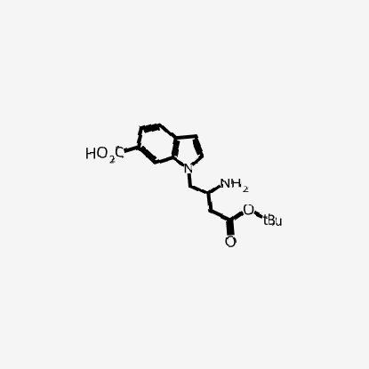 CC(C)(C)OC(=O)CC(N)Cn1ccc2ccc(C(=O)O)cc21